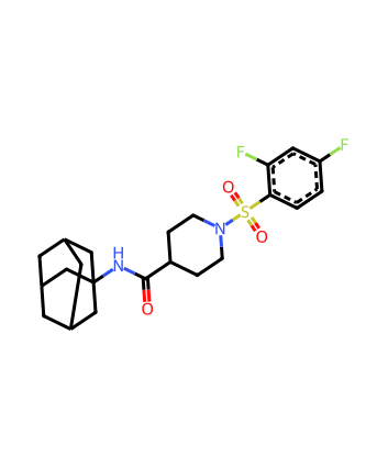 O=C(NC12CC3CC(CC(C3)C1)C2)C1CCN(S(=O)(=O)c2ccc(F)cc2F)CC1